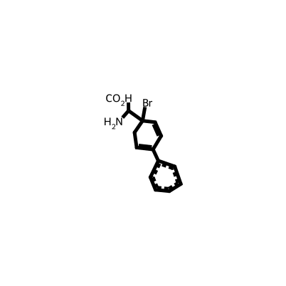 NC(C(=O)O)C1(Br)C=CC(c2ccccc2)=CC1